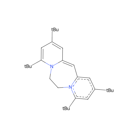 CC(C)(C)C1=CC2=Cc3cc(C(C)(C)C)cc(C(C)(C)C)[n+]3CCN2C(C(C)(C)C)=C1